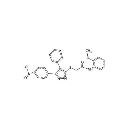 COc1ccccc1NC(=O)CSc1nnc(-c2ccc([N+](=O)[O-])cc2)n1-c1ccccc1